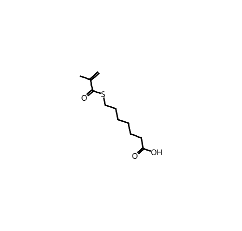 C=C(C)C(=O)SCCCCCCC(=O)O